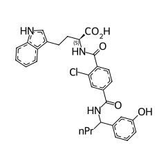 CCCC(NC(=O)c1ccc(C(=O)N[C@@H](CCc2c[nH]c3ccccc23)C(=O)O)c(Cl)c1)c1cccc(O)c1